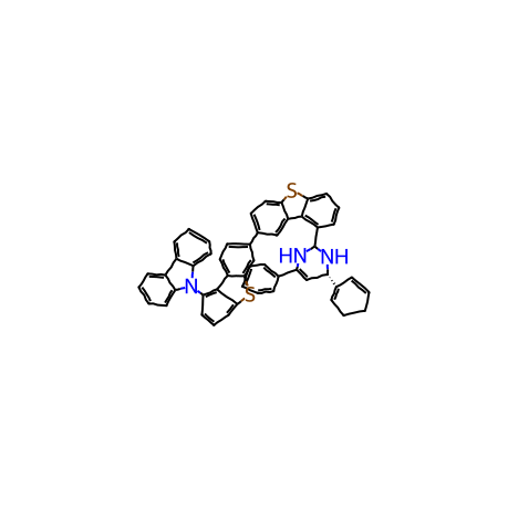 C1=CC([C@@H]2C=C(c3ccccc3)NC(c3cccc4sc5ccc(-c6ccc7c(c6)sc6cccc(-n8c9ccccc9c9ccccc98)c67)cc5c34)N2)=CCC1